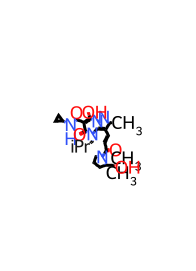 Cc1nn2c(O)c(C(=O)NC3CC3)c(=O)n(CC(C)C)c2c1C=CC(=O)N1CCCC1C(C)(C)O